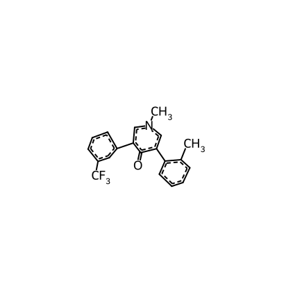 Cc1ccccc1-c1cn(C)cc(-c2cccc(C(F)(F)F)c2)c1=O